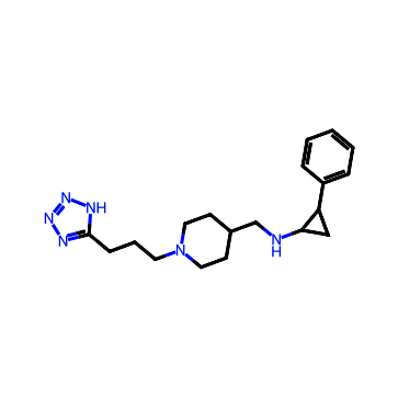 c1ccc(C2CC2NCC2CCN(CCCc3nnn[nH]3)CC2)cc1